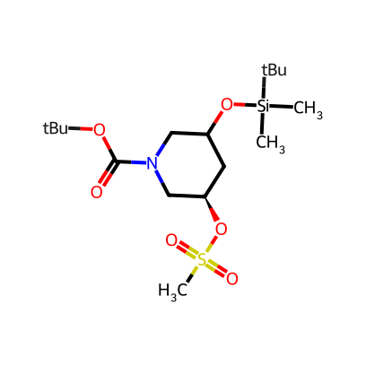 CC(C)(C)OC(=O)N1CC(O[Si](C)(C)C(C)(C)C)C[C@@H](OS(C)(=O)=O)C1